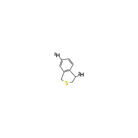 [2H]c1ccc2c(c1)CSCC2[2H]